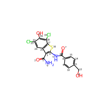 NC(=O)c1c(NC(=O)c2ccc(CO)cc2)sc2c(Cl)c(O)c(Cl)cc12